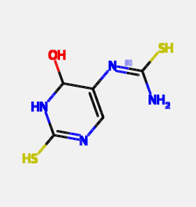 N/C(S)=N\C1=CN=C(S)NC1O